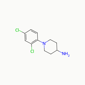 NC1CCN(c2ccc(Cl)cc2Cl)CC1